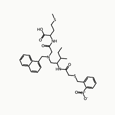 CCC(C)C(CN(CC(=O)NC(CCSC)C(=O)O)Cc1cccc2ccccc12)NC(=O)CSCc1ccccc1[N+](=O)[O-]